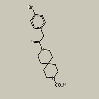 O=C(O)N1CCC2(CC1)CCN(C(=O)Cc1ccc(Br)cc1)CC2